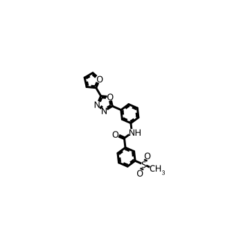 CS(=O)(=O)c1cccc(C(=O)Nc2cccc(-c3nnc(-c4ccco4)o3)c2)c1